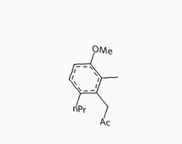 CCCc1ccc(OC)c(C)c1CC(C)=O